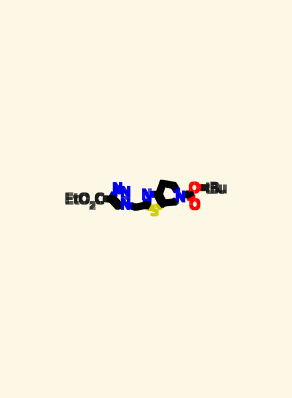 CCOC(=O)c1cn(Cc2nc3c(s2)CN(C(=O)OC(C)(C)C)CC3)nn1